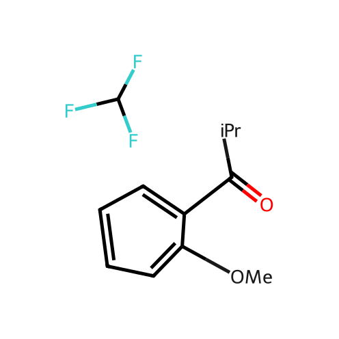 COc1ccccc1C(=O)C(C)C.FC(F)F